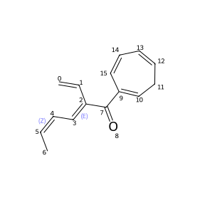 C=C/C(=C\C=C/C)C(=O)C1=CCC=CC=C1